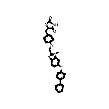 Cn1c(COc2ccc(CC3SC(=O)NC3=O)cc2)nc2ccc(Oc3ccc(-c4ccccc4)cc3)cc21